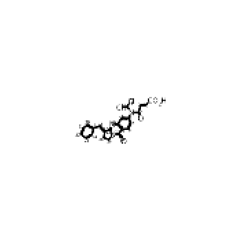 O=C(O)C=CC(=O)N(c1ccc2c(=O)n3c(nc2c1)C(=Cc1ccccc1)CC3)C(Cl)Cl